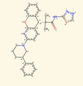 CC(C)(C(=O)Nc1nncs1)[C@H]1c2ccccc2Oc2nc(N3CCCC(c4ccccc4)C3)ccc21